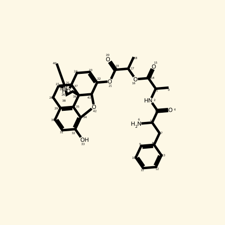 CC(NC(=O)C(N)Cc1ccccc1)C(=O)OC(C)C(=O)OC1=CCC2(O)C3Cc4ccc(O)c5c4C2(CCN3C)C1O5